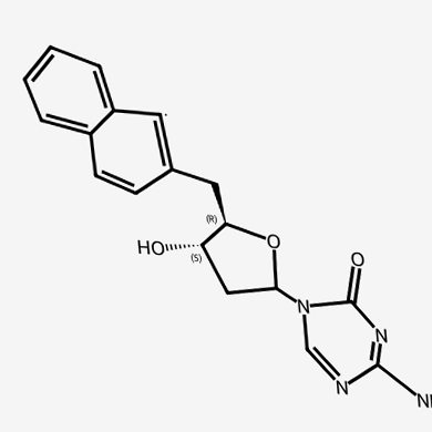 Nc1ncn(C2C[C@H](O)[C@@H](Cc3[c]c4ccccc4cc3)O2)c(=O)n1